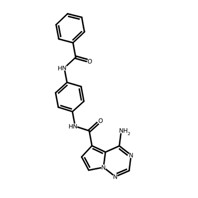 Nc1ncnn2ccc(C(=O)Nc3ccc(NC(=O)c4ccccc4)cc3)c12